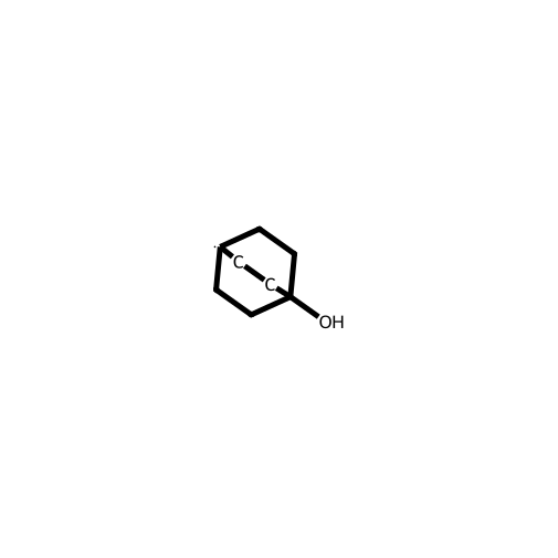 OC12CC[C](CC1)CC2